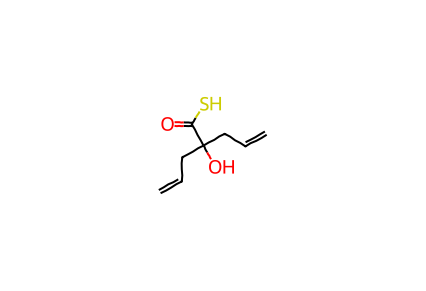 C=CCC(O)(CC=C)C(=O)S